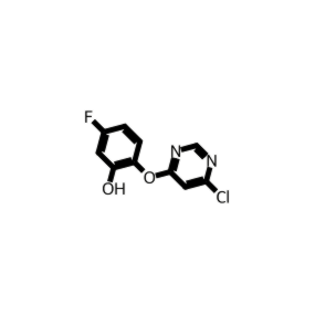 Oc1cc(F)ccc1Oc1cc(Cl)ncn1